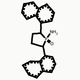 NP1(=O)C(c2cccc3ccccc23)CCC1c1cccc2ccccc12